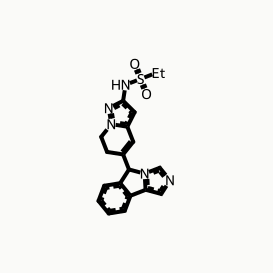 CCS(=O)(=O)Nc1cc2n(n1)CCC(C1c3ccccc3-c3cncn31)=C2